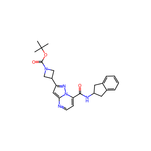 CC(C)(C)OC(=O)N1CC(c2cc3nccc(C(=O)NC4Cc5ccccc5C4)n3n2)C1